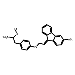 CCCCc1ccc2c(c1)-c1ccccc1/C2=C\COc1ccc(CC(OCC)C(=O)O)cc1